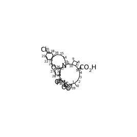 CC1CCC[C@H](C(=O)O)C2CCC2CN2CCCCc3cc(Cl)ccc3COc3ccc(cc32)C(=O)NS(=O)(=O)C1C